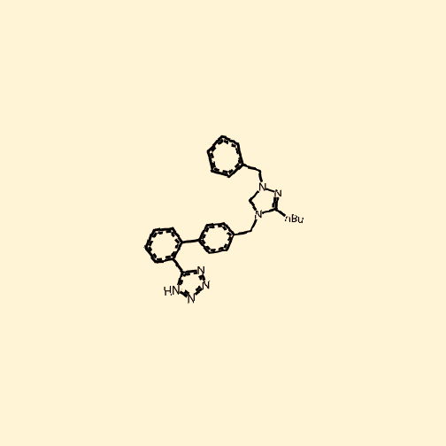 CCCCC1=NN(Cc2ccccc2)CN1Cc1ccc(-c2ccccc2-c2nnn[nH]2)cc1